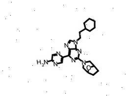 Nc1cnc(-c2nc(N3CC4CCC(C3)O4)nc3c2ncn3CCC2CCCCC2)cn1